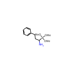 CO[Si](OC)(OC)C(N)CCc1ccccc1